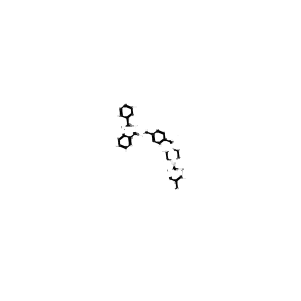 CCc1cnc(N2CCN(C(=O)c3ccc(CNc4nc(-c5ccccc5)nc5ccccc45)cc3)CC2)nc1